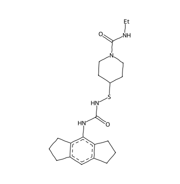 CCNC(=O)N1CCC(SNC(=O)Nc2c3c(cc4c2CCC4)CCC3)CC1